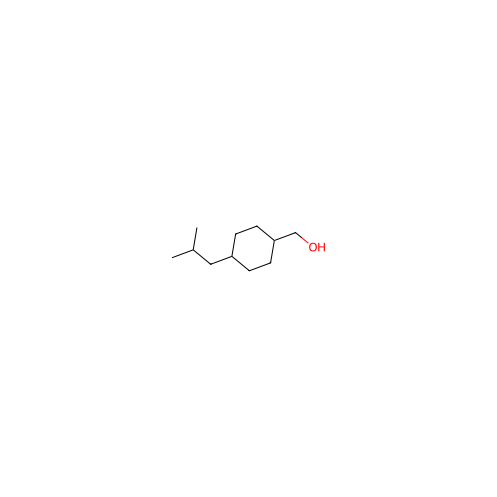 CC(C)CC1CCC(CO)CC1